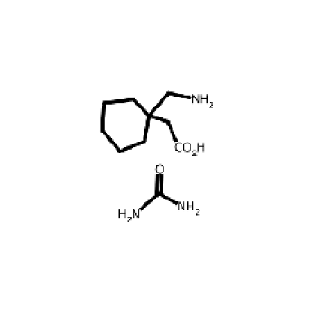 NC(N)=O.NCC1(CC(=O)O)CCCCC1